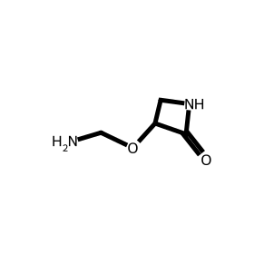 NCOC1CNC1=O